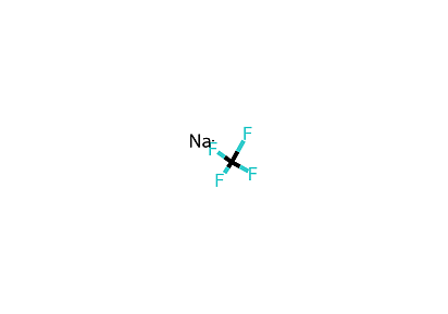 FC(F)(F)F.[Na]